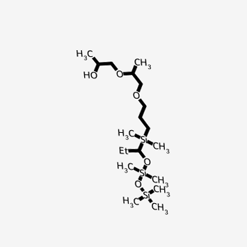 CCC(O[Si](C)(C)O[Si](C)(C)C)[Si](C)(C)CCCOCC(C)OCC(C)O